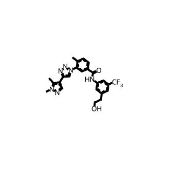 Cc1ccc(C(=O)Nc2cc(CCO)cc(C(F)(F)F)c2)cc1-n1cc(-c2cnn(C)c2C)nn1